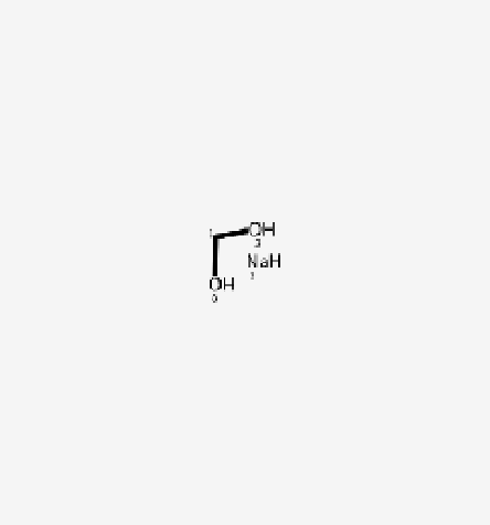 O[CH]O.[NaH]